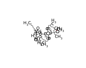 CCCCCCCN1C(=O)c2sc3c(-c4cc5c(-c6ccc(CC(CC)CCCC)o6)c6sc(C(CCC)(CCCC)c7ccccc7)cc6c(-c6ccc(CC(CC)CCCC)o6)c5s4)sc(C(C)(CCCCC)c4ccccc4)c3c2C1=O